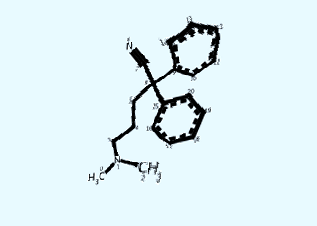 CN(C)CCCC(C#N)(c1ccccc1)c1ccccc1